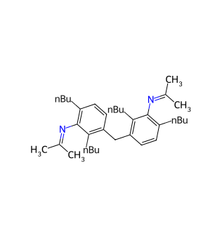 CCCCc1ccc(Cc2ccc(CCCC)c(N=C(C)C)c2CCCC)c(CCCC)c1N=C(C)C